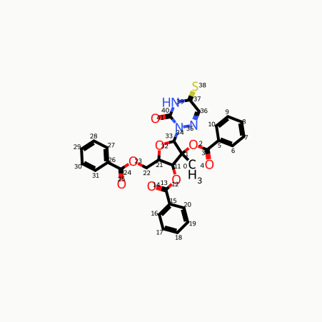 CC1(OC(=O)c2ccccc2)C(OC(=O)c2ccccc2)C(COC(=O)c2ccccc2)OC1n1ncc(=S)[nH]c1=O